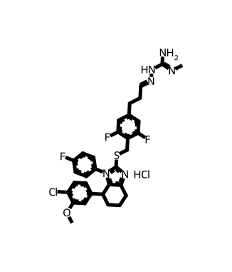 CN=C(N)NN=CCCc1cc(F)c(CSc2nc3c(n2-c2ccc(F)cc2)C(c2ccc(Cl)c(OC)c2)CCC3)c(F)c1.Cl